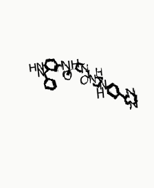 O=C(Nc1ccc2[nH]nc(-c3ccccc3)c2c1)[C@@H]1CCN(CC(=O)N2C[C@H]3C[C@@H]2CN3c2ccc(-c3cnccn3)cc2)C1